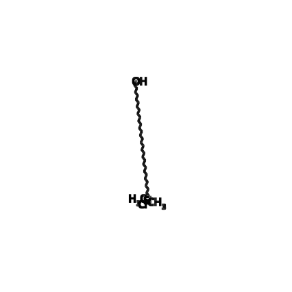 C[Si](C)(Cl)CCCCCCCCCCCCCCCCCCCCCCCCCCCCCCCCO